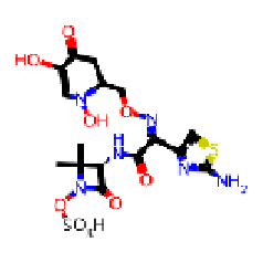 CC1(C)[C@H](NC(=O)/C(=N\OCC2CC(=O)C(O)=CN2O)c2csc(N)n2)C(=O)N1OS(=O)(=O)O